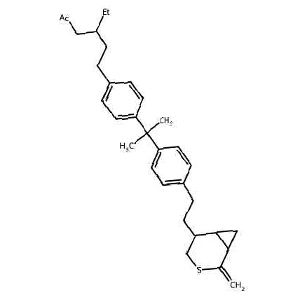 C=C1SCC(CCc2ccc(C(C)(C)c3ccc(CCC(CC)CC(C)=O)cc3)cc2)C2CC12